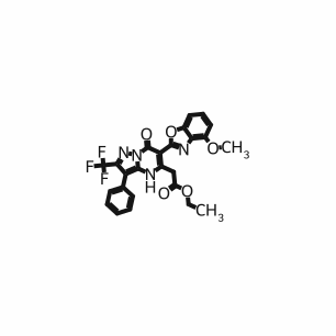 CCOC(=O)Cc1[nH]c2c(-c3ccccc3)c(C(F)(F)F)nn2c(=O)c1-c1nc2c(OC)cccc2o1